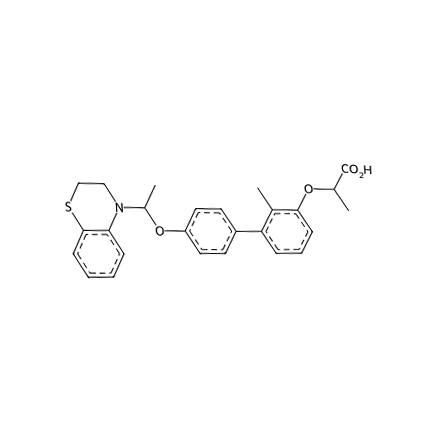 Cc1c(OC(C)C(=O)O)cccc1-c1ccc(OC(C)N2CCSc3ccccc32)cc1